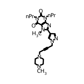 CCCn1c(=O)c2c(nc(-c3cnn(CC#CCN4CCN(C)CC4)c3)n2C)n(CCC)c1=O